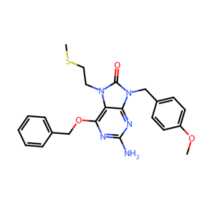 COc1ccc(Cn2c(=O)n(CCSC)c3c(OCc4ccccc4)nc(N)nc32)cc1